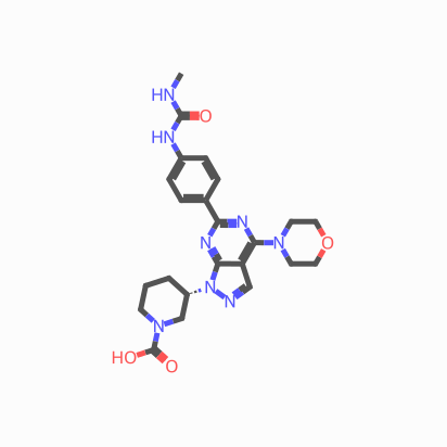 CNC(=O)Nc1ccc(-c2nc(N3CCOCC3)c3cnn([C@H]4CCCN(C(=O)O)C4)c3n2)cc1